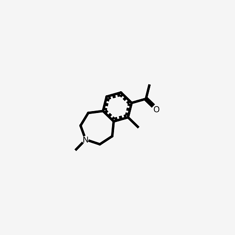 CC(=O)c1ccc2c(c1C)CCN(C)CC2